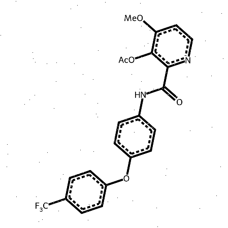 COc1ccnc(C(=O)Nc2ccc(Oc3ccc(C(F)(F)F)cc3)cc2)c1OC(C)=O